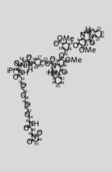 COC(=O)c1cc(COc2cc3c(cc2OC)C(=O)N2c4ccccc4C[C@H]2C=N3)cc(COc2cc3c(cc2OC)C(=O)N2c4ccccc4C[C@H]2CN3C(=O)OCc2ccc(NC(=O)C(C)NC(=O)C(NC(=O)CCOCCOCCOCCOCCNC(=O)CCN3C(=O)C=CC3=O)C(C)C)cc2)c1